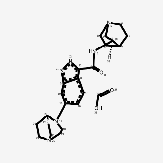 O=C(N[C@H]1CN2CCC1CC2)c1nsc2cc(N3CCN4CCC3CC4)ccc12.O=CO